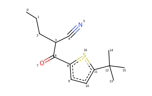 CCCC(C#N)C(=O)c1ccc(C(C)(C)C)s1